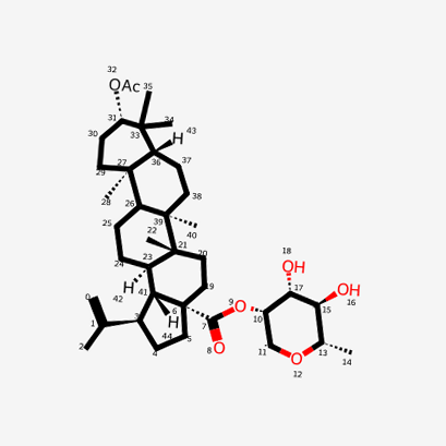 C=C(C)[C@@H]1CC[C@]2(C(=O)O[C@H]3[CH]O[C@@H](C)[C@H](O)[C@H]3O)CC[C@]3(C)[C@H](CCC4[C@@]5(C)CC[C@H](OC(C)=O)C(C)(C)[C@@H]5CC[C@]43C)[C@@H]12